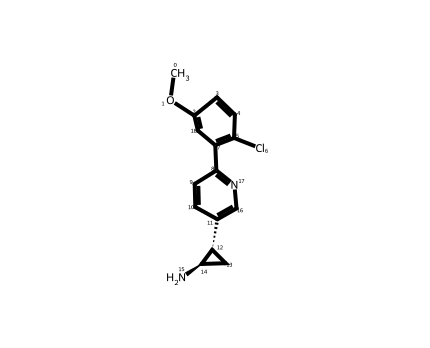 COc1ccc(Cl)c(-c2ccc([C@@H]3C[C@H]3N)cn2)c1